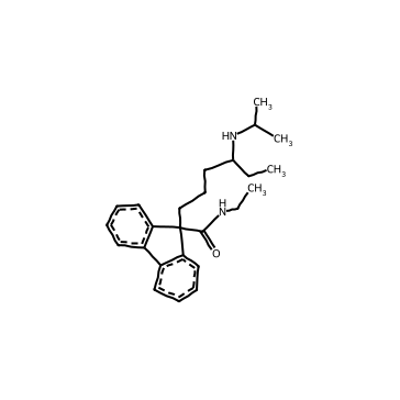 CCNC(=O)C1(CCCC(CC)NC(C)C)c2ccccc2-c2ccccc21